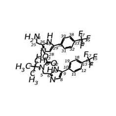 CC(C)(C)N(Cc1ncc(-c2ccc(C(F)(F)F)cc2)[nH]1)C(=O)O.NCc1ncc(-c2ccc(C(F)(F)F)cc2)[nH]1